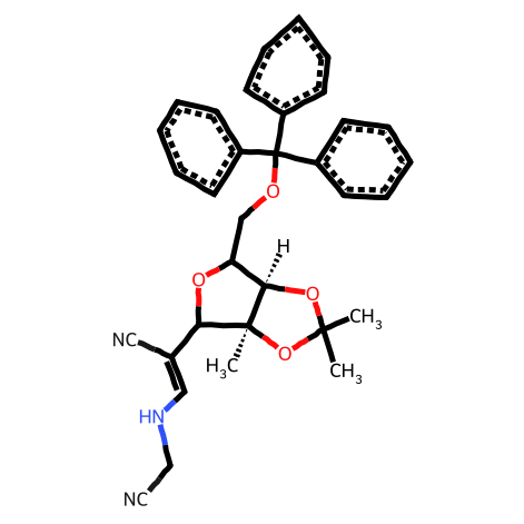 CC1(C)O[C@@H]2C(COC(c3ccccc3)(c3ccccc3)c3ccccc3)OC(C(C#N)=CNCC#N)[C@]2(C)O1